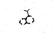 CCCCCCC(CCC)c1ncnc2[nH]cnc12